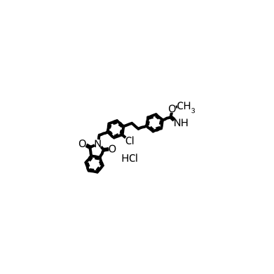 COC(=N)c1ccc(CCc2ccc(CN3C(=O)c4ccccc4C3=O)cc2Cl)cc1.Cl